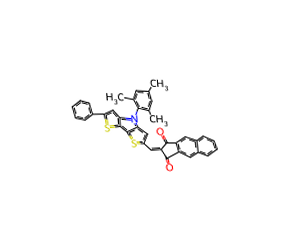 Cc1cc(C)c(-n2c3cc(C=C4C(=O)c5cc6ccccc6cc5C4=O)sc3c3sc(-c4ccccc4)cc32)c(C)c1